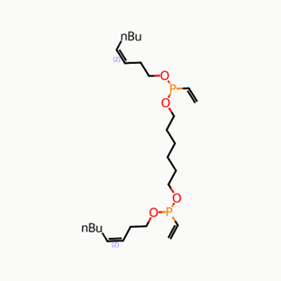 C=CP(OCC/C=C\CCCC)OCCCCCCOP(C=C)OCC/C=C\CCCC